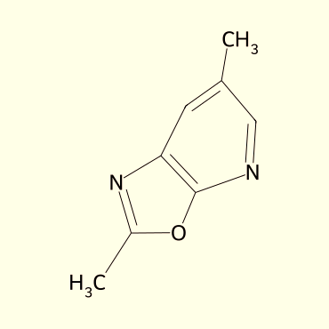 Cc1cnc2oc(C)nc2c1